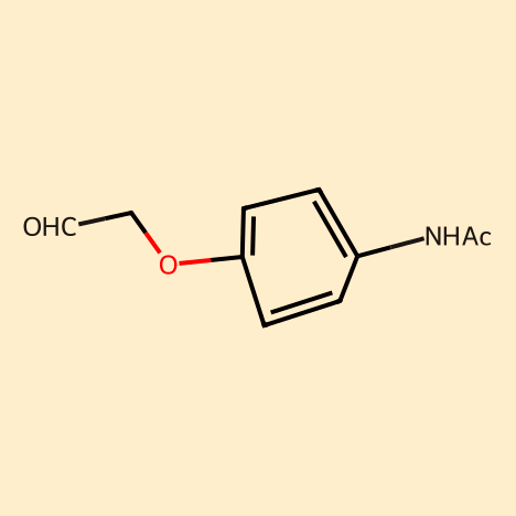 CC(=O)Nc1ccc(OCC=O)cc1